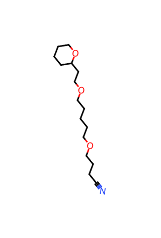 N#CCCCOCCCCCOCCC1CCCCO1